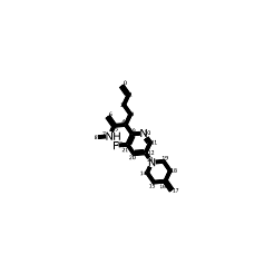 C=CCCC(C(=C)NC)c1ncc(N2CCC(=C)CC2)cc1F